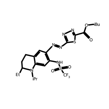 CCC(C)OC(=O)c1nnc(N=Nc2cc3c(cc2NS(=O)(=O)C(F)(F)F)N(C(C)C)C(CC)CC3)s1